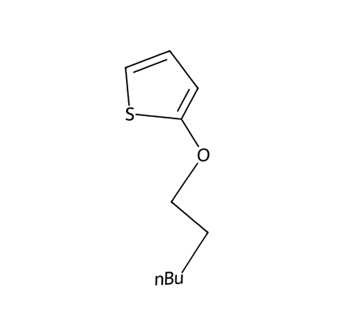 [CH2]CCCCCOc1cccs1